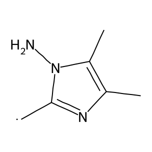 [CH2]c1nc(C)c(C)n1N